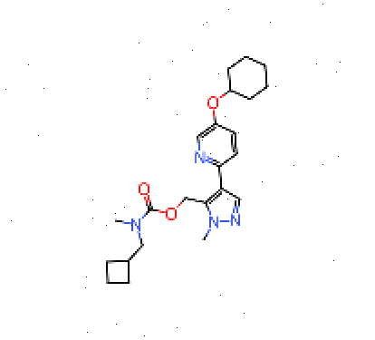 CN(CC1CCC1)C(=O)OCc1c(-c2ccc(OC3CCCCC3)cn2)cnn1C